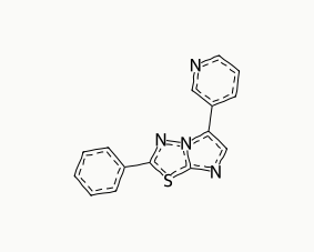 c1ccc(-c2nn3c(-c4cccnc4)cnc3s2)cc1